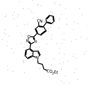 CCOC(=O)CCCn1ccc2c(-c3noc(-c4ccc(-c5ccccc5)c(C#N)c4)n3)cccc21